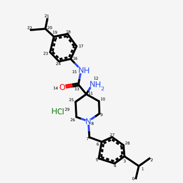 CC(C)c1ccc(CN2CCC(N)(C(=O)Nc3ccc(C(C)C)cc3)CC2)cc1.Cl